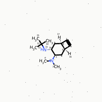 CN(C)[C@@H]1C[C@@H]2C#C[C@@H]2C[C@H]1NC(C)(C)C